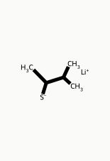 CC(C)C(C)[S-].[Li+]